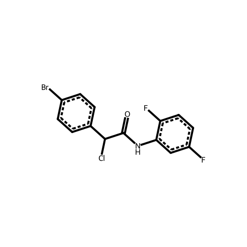 O=C(Nc1cc(F)ccc1F)C(Cl)c1ccc(Br)cc1